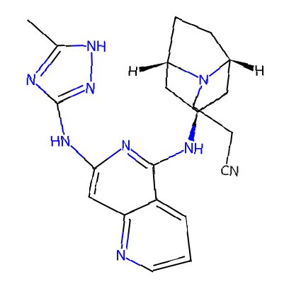 Cc1nc(Nc2cc3ncccc3c(N[C@@H]3C[C@H]4CC[C@@H](C3)N4CCC#N)n2)n[nH]1